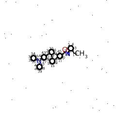 CCc1cccc2oc(-c3ccc(-c4ccccc4-c4ccccc4-c4ccc(N(c5ccccc5)c5ccccc5)cc4)cc3)nc12